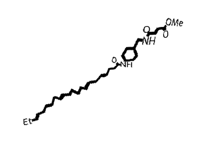 CCC=CCC=CCC=CCC=CCC=CCC=CCCC(=O)NC1CCC(CNC(=O)C=CC(=O)OC)CC1